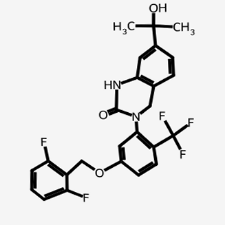 CC(C)(O)c1ccc2c(c1)NC(=O)N(c1cc(OCc3c(F)cccc3F)ccc1C(F)(F)F)C2